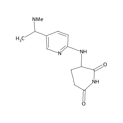 CNC(C)c1ccc(NC2CCC(=O)NC2=O)nc1